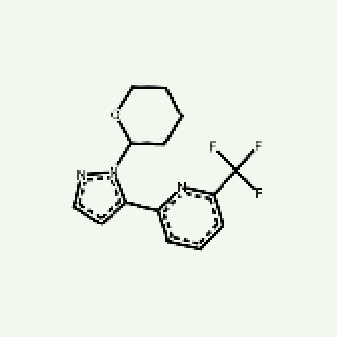 FC(F)(F)c1cccc(-c2ccnn2C2CCCCO2)n1